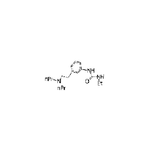 CCCN(CCC)CCc1cccc(NC(=O)NCC)c1